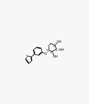 O[C@@H]1[C@@H](O)[C@H](Oc2cccc(-c3cccs3)c2)SC[C@H]1O